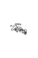 CO[C@H](C)CO[C@@H](C)c1c(NC(=O)Nc2cnc(-n3nccn3)c(Cl)c2)cnc2cc(Cl)nn12